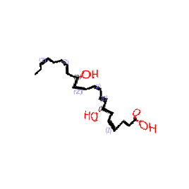 CC/C=C\C/C=C\C[C@@H](O)\C=C/C=C\C=C\[C@@H](O)C/C=C\CCC(=O)O